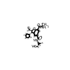 CNC(=O)c1cc(C(=O)N[C@@H]2C[C@H]2CO)cc2c1O[C@H](CF)[C@H]2c1ccccc1